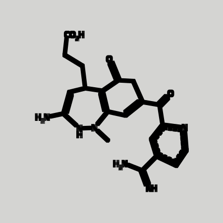 CN1NC(N)=CC(CCC(=O)O)C2=C1C=C(C(=O)c1cc(C(=N)N)ccn1)CC2=O